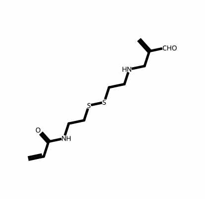 C=CC(=O)NCCSSCCNCC(=C)C=O